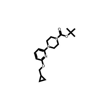 CC(C)(C)OC(=O)N1CCN(c2cccc(OCC3CC3)n2)CC1